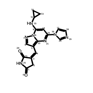 O=C1CC(=Cc2cnn3c(NC4CC4)cc(-n4ccnc4)nc23)C(=O)N1